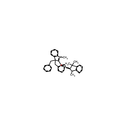 CN1/C(=C/C=C/C2=[N+](C)c3ccccc3C2(Cc2ccccc2)Cc2ccccc2)C(C)(C)c2ccccc21